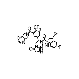 N=C1N[C@](CCC2CC2)(c2ccc(F)cc2)C(=O)N1C(CN1CCCC1=O)c1ccc(C(F)(F)F)c(C(=O)N2Cc3nccnc3C2)c1